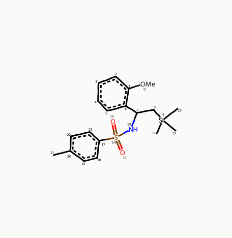 COc1ccccc1C(C[Si](C)(C)C)NS(=O)(=O)c1ccc(C)cc1